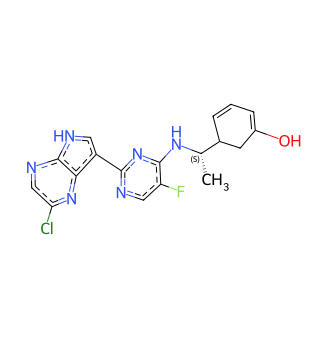 C[C@H](Nc1nc(-c2c[nH]c3ncc(Cl)nc23)ncc1F)C1C=CC=C(O)C1